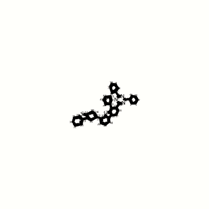 c1ccc(-c2nc(-c3ccccc3)nc(-c3ccc4c(oc5c(-c6ccc7sc8ccccc8c7c6)cccc54)c3-c3ccccc3)n2)cc1